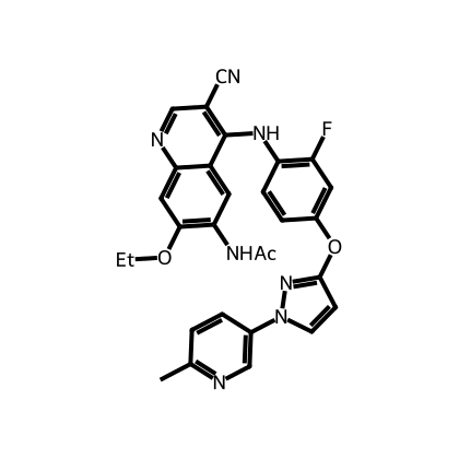 CCOc1cc2ncc(C#N)c(Nc3ccc(Oc4ccn(-c5ccc(C)nc5)n4)cc3F)c2cc1NC(C)=O